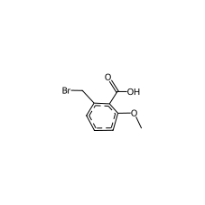 COc1cccc(CBr)c1C(=O)O